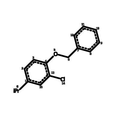 CC(C)c1ccc(OCc2ccccc2)c(Cl)c1